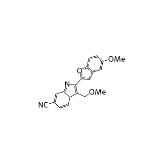 COCC1=C(c2cc3cc(OC)ccc3o2)N=C2C=C(C#N)C=CC21